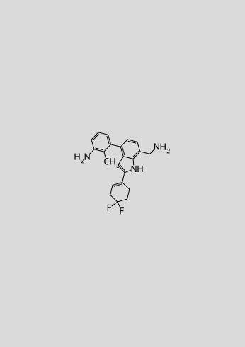 Cc1c(N)cccc1-c1ccc(CN)c2[nH]c(C3=CCC(F)(F)CC3)cc12